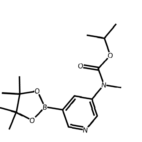 CC(C)OC(=O)N(C)c1cncc(B2OC(C)(C)C(C)(C)O2)c1